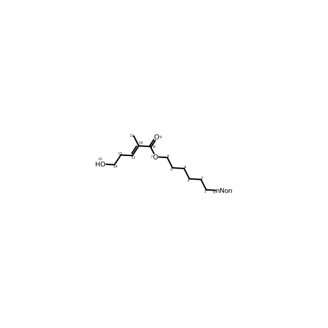 CCCCCCCCCCCCCCCOC(=O)C(C)=CCCO